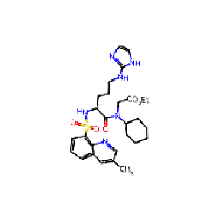 CCOC(=O)CN(C(=O)[C@H](CCCNc1ncc[nH]1)NS(=O)(=O)c1cccc2cc(C)cnc12)C1CCCCC1